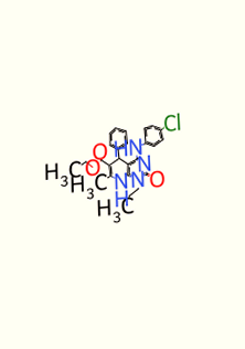 CCCn1c2c(c(Nc3ccc(Cl)cc3)nc1=O)C(c1ccccc1)C(C(=O)OCC)=C(C)N2